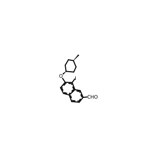 C[C@H]1CC[C@@H](Oc2ccc3ccc(C=O)cc3c2I)CC1